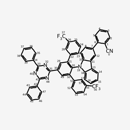 N#Cc1ccccc1-c1ccc2c(c1)c1ccccc1n2-c1c(-c2cccc(C(F)(F)F)c2)cc(-c2nc(-c3ccccc3)nc(-c3ccccc3)n2)cc1-c1cccc(C(F)(F)F)c1